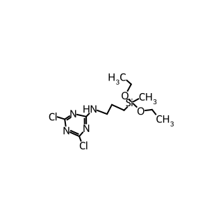 CCO[Si](C)(CCCNc1nc(Cl)nc(Cl)n1)OCC